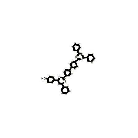 N#Cc1ccc(-c2cc(-c3ccccc3)nc(-c3ccc(-c4ccc(-c5nc(-c6ccccc6)nc(-c6ccccc6)n5)cc4)cc3)n2)cc1